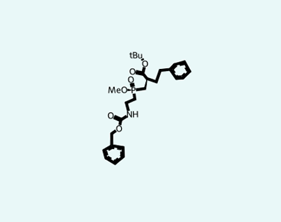 CO[P@](=O)(CCNC(=O)OCc1ccccc1)C[C@H](CCc1ccccc1)C(=O)OC(C)(C)C